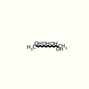 CC(O)CCCC(O)CCCC(O)CCC(C)O